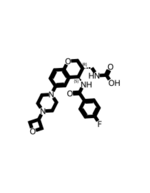 O=C(O)NC[C@H]1COc2ccc(N3CCN(C4COC4)CC3)cc2[C@H]1NC(=O)c1ccc(F)cc1